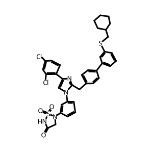 O=C1CN(c2cccc(-n3cc(-c4ccc(Cl)cc4Cl)nc3Cc3ccc(-c4cccc(SCC5CCCCC5)c4)cc3)c2)S(=O)(=O)N1